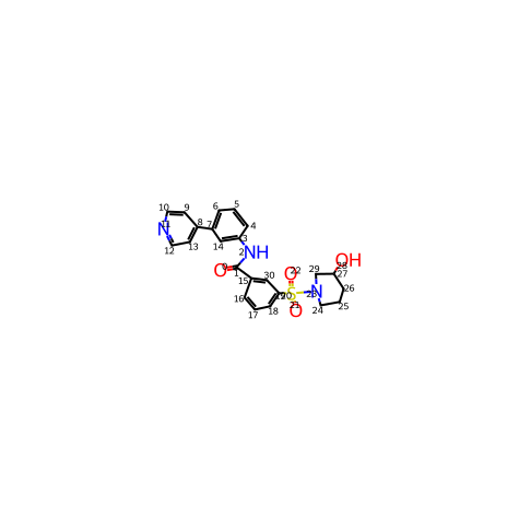 O=C(Nc1cccc(-c2ccncc2)c1)c1cccc(S(=O)(=O)N2CCCC(O)C2)c1